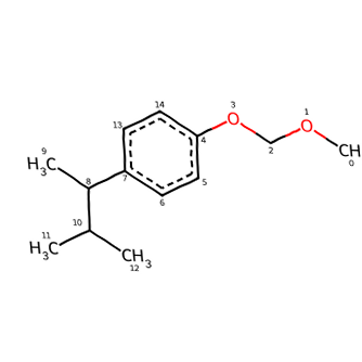 COCOc1ccc(C(C)C(C)C)cc1